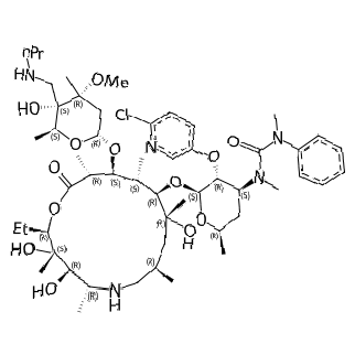 CCCNC[C@]1(O)[C@H](C)O[C@@H](O[C@H]2[C@H](C)[C@@H](O[C@@H]3O[C@H](C)C[C@H](N(C)C(=O)N(C)c4ccccc4)[C@H]3Oc3ccc(Cl)nc3)[C@](C)(O)C[C@@H](C)CN[C@H](C)[C@@H](O)[C@](C)(O)[C@@H](CC)OC(=O)[C@@H]2C)C[C@@]1(C)OC